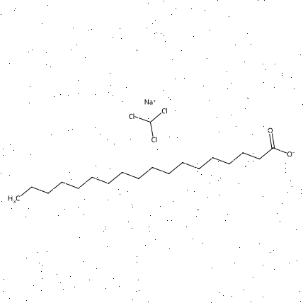 CCCCCCCCCCCCCCCCCC(=O)[O-].ClC(Cl)Cl.[Na+]